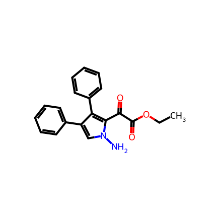 CCOC(=O)C(=O)c1c(-c2ccccc2)c(-c2ccccc2)cn1N